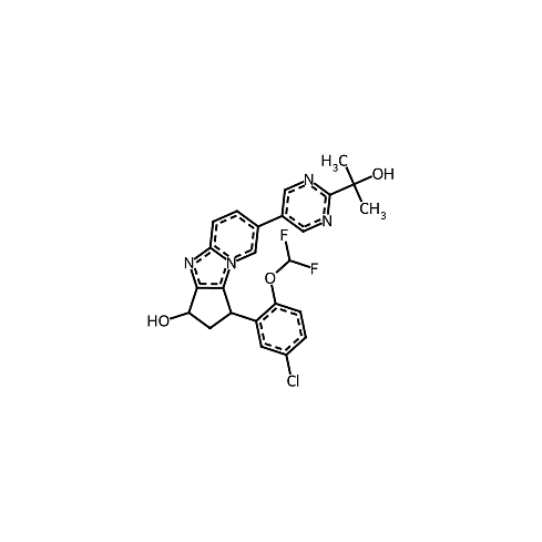 CC(C)(O)c1ncc(-c2ccc3nc4c(n3c2)C(c2cc(Cl)ccc2OC(F)F)CC4O)cn1